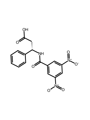 O=C(O)C[C@H](NC(=O)c1cc([N+](=O)[O-])cc([N+](=O)[O-])c1)c1ccccc1